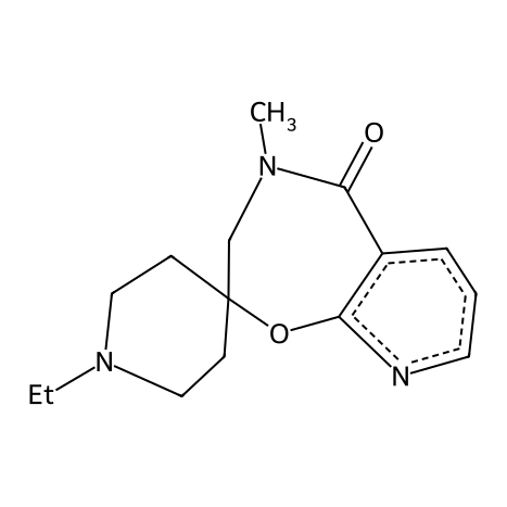 CCN1CCC2(CC1)CN(C)C(=O)c1cccnc1O2